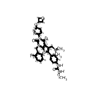 CONC(=O)Nc1ccc(-c2sc3c(c2CN(C)C)c(=O)n(-c2ccc(OC4COC4)nn2)c(=O)n3Cc2c(F)cccc2F)cc1